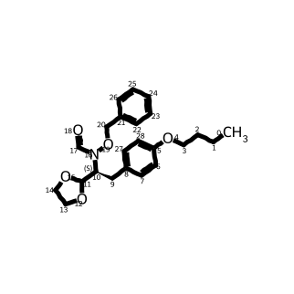 CCCCOc1ccc(C[C@@H](C2OCCO2)N(C=O)OCc2ccccc2)cc1